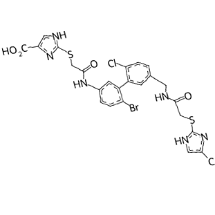 O=C(CSc1nc(C(=O)O)c[nH]1)NCc1ccc(Cl)c(-c2cc(NC(=O)CSc3nc(C(=O)O)c[nH]3)ccc2Br)c1